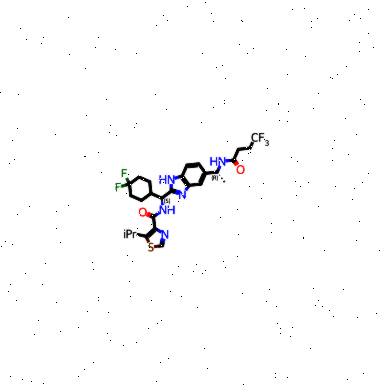 CC(C)c1scnc1C(=O)N[C@H](c1nc2cc([C@@H](C)NC(=O)CCC(F)(F)F)ccc2[nH]1)C1CCC(F)(F)CC1